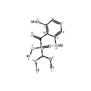 CCOC(OCC)P(=O)(OCC)C(=O)c1c(OC)cccc1OC